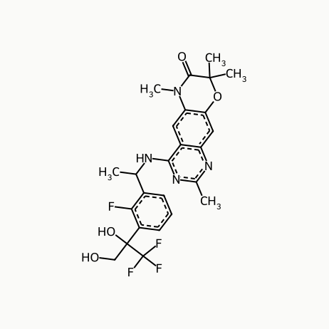 Cc1nc(NC(C)c2cccc(C(O)(CO)C(F)(F)F)c2F)c2cc3c(cc2n1)OC(C)(C)C(=O)N3C